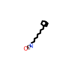 O=C=NCCCCCCCCC12CCC(CC1)C2